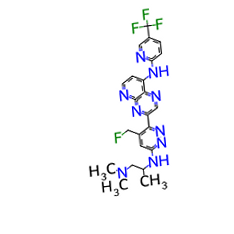 CC(CN(C)C)Nc1cc(CF)c(-c2cnc3c(Nc4ccc(C(F)(F)F)cn4)ccnc3n2)nn1